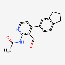 CC(=O)Nc1nccc(-c2ccc3c(c2)CCC3)c1C=O